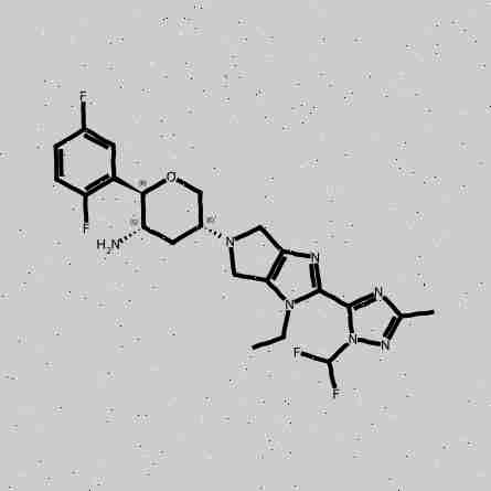 CCn1c(-c2nc(C)nn2C(F)F)nc2c1CN([C@H]1CO[C@H](c3cc(F)ccc3F)[C@@H](N)C1)C2